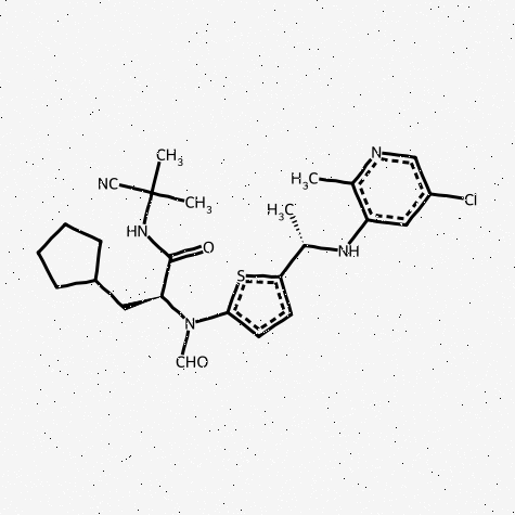 Cc1ncc(Cl)cc1N[C@@H](C)c1ccc(N(C=O)[C@@H](CC2CCCC2)C(=O)NC(C)(C)C#N)s1